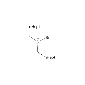 CCCCCCCC[SiH](Br)CCCCCCCC